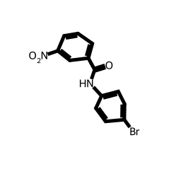 O=C(Nc1ccc(Br)cc1)c1cccc([N+](=O)[O-])c1